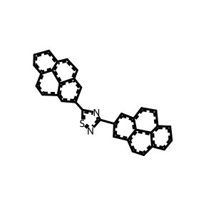 c1cc2ccc3cc(-c4nsc(-c5cc6ccc7cccc8ccc(c5)c6c78)n4)cc4ccc(c1)c2c34